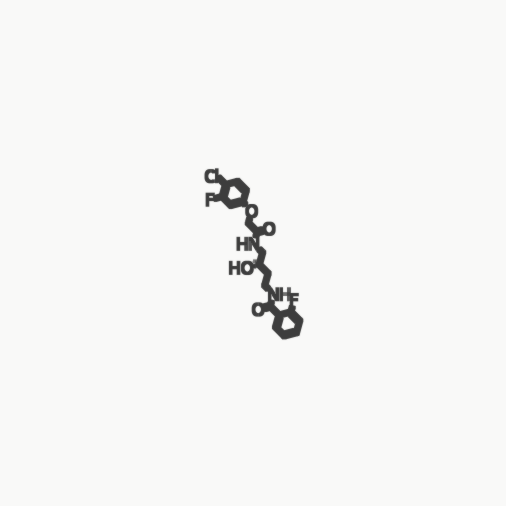 O=C(COc1ccc(Cl)c(F)c1)NC[C@@H](O)CCNC(=O)c1ccccc1F